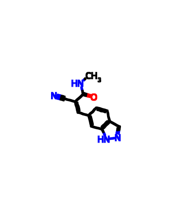 CNC(=O)C(C#N)=Cc1ccc2cn[nH]c2c1